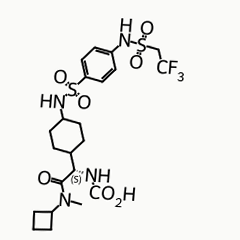 CN(C(=O)[C@@H](NC(=O)O)C1CCC(NS(=O)(=O)c2ccc(NS(=O)(=O)CC(F)(F)F)cc2)CC1)C1CCC1